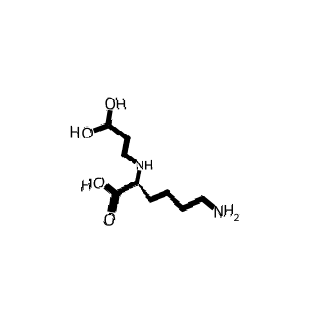 NCCCC[C@H](NCCC(O)O)C(=O)O